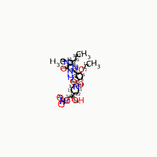 CCCOc1ccc(S(=O)(=O)N2CCC([C@@H](O)CO[N+](=O)[O-])CC2)cc1-c1nc2c(CCC)cn(C)c2c(=O)[nH]1